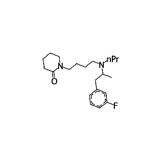 CCCN(CCCCN1CCCCC1=O)C(C)Cc1cccc(F)c1